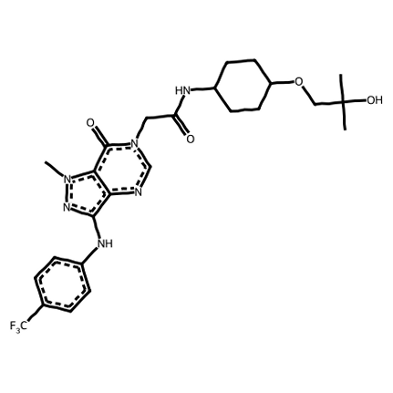 Cn1nc(Nc2ccc(C(F)(F)F)cc2)c2ncn(CC(=O)NC3CCC(OCC(C)(C)O)CC3)c(=O)c21